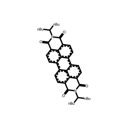 CCCCC(CCCC)N1C(=O)c2ccc3c4ccc5c6c(ccc(c7ccc(c2c37)C1=O)c64)C(=O)N(C(CCCC)CCCC)C5=O